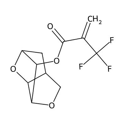 C=C(C(=O)OC1C2CC3COC1C3O2)C(F)(F)F